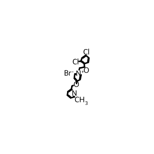 Cc1cccc(COc2cc[n+](CC(=O)c3ccc(Cl)cc3Cl)cc2)n1.[Br-]